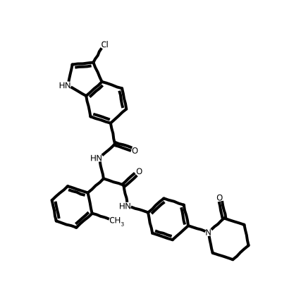 Cc1ccccc1C(NC(=O)c1ccc2c(Cl)c[nH]c2c1)C(=O)Nc1ccc(N2CCCCC2=O)cc1